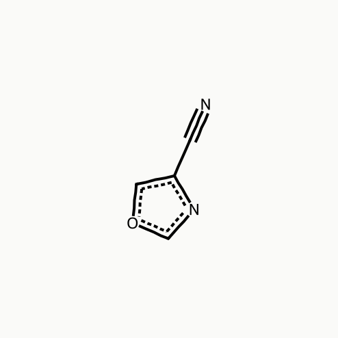 N#Cc1cocn1